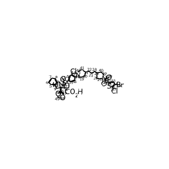 O=C(O)CC(Cc1ccccc1)(NS(=O)(=O)c1ccc(N2CCC(CCCC3CCN(S(=O)(=O)c4cc(Br)c(Cl)s4)CC3)CC2)c(Cl)c1)C1=COCO1